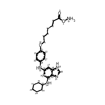 NOC(=O)CCCCCCOc1ccc(Nc2cc3[nH]cnc3c(NC3CCCCC3)n2)cc1